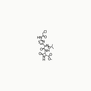 COC(=O)C1NC(=O)C1NC(=O)C(=NOC(C)C)c1csc(NC(=O)CCl)n1